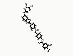 COc1ccc(C(=O)Nc2ccc(CNc3ccc(-c4nc5cc(CC(=O)N[C@@H](C)C(=O)O)ccc5o4)cc3F)cc2)cc1Br